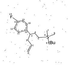 C=CCC(CCS(C)(C)C(C)(C)C)c1ccc(F)cc1